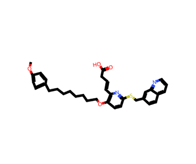 COc1ccc(CCCCCCCCOc2ccc(SCc3ccc4cccnc4c3)nc2C=CCC(=O)O)cc1